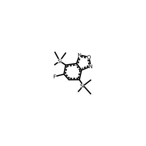 C[Si](C)(C)c1cc(F)c([Si](C)(C)C)c2nonc12